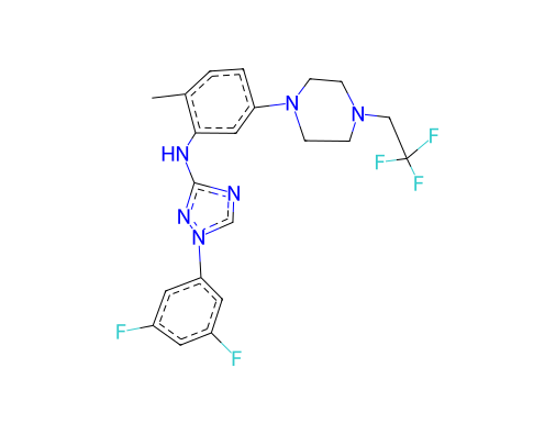 Cc1ccc(N2CCN(CC(F)(F)F)CC2)cc1Nc1ncn(-c2cc(F)cc(F)c2)n1